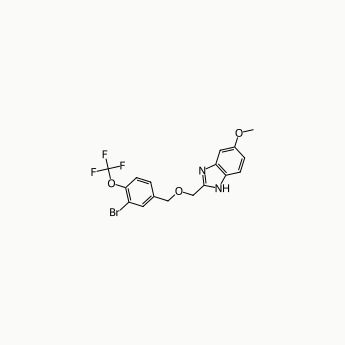 COc1ccc2[nH]c(COCc3ccc(OC(F)(F)F)c(Br)c3)nc2c1